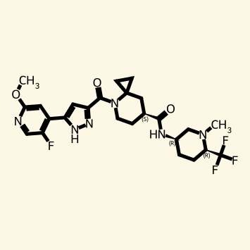 COc1cc(-c2cc(C(=O)N3CC[C@H](C(=O)N[C@@H]4CC[C@H](C(F)(F)F)N(C)C4)CC34CC4)n[nH]2)c(F)cn1